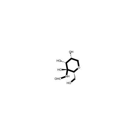 O=CN[C@]1(O)[C@H](O)[C@H](O)[CH]O[C@@H]1CO